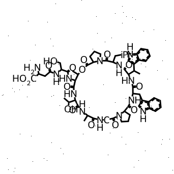 CC(C)CC1NC(=O)C(C(C)c2c[nH]c3ccccc23)NC(=O)C(Cc2c[nH]c3ccccc23)NC(=O)C2CCCN2C(=O)CNC(=O)C(C)NC(=O)C(C(C)O)NC(=O)C(NC(=O)C(CO)NC(=O)CC(N)C(=O)O)C(C)OC(=O)C2CCCN2C1=O